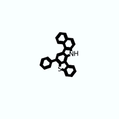 c1ccc(-c2cc3c([nH]c4ccc5ccccc5c43)c3c2sc2ccccc23)cc1